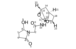 O=C(CN1C(=O)CCC1O)N[C@]12C[C@H]3C[C@H](C[C@H](C3)O1)O2